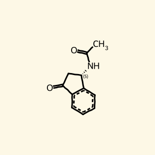 CC(=O)N[C@H]1CC(=O)c2ccccc21